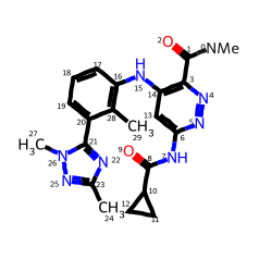 CNC(=O)c1nnc(NC(=O)C2CC2)cc1Nc1cccc(-c2nc(C)nn2C)c1C